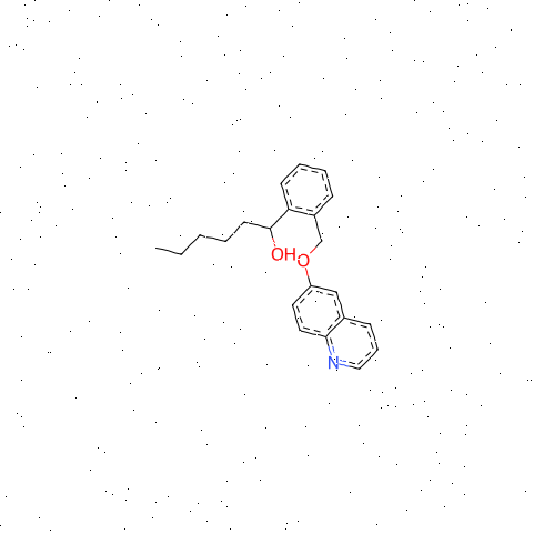 CCCCCC(O)c1ccccc1COc1ccc2ncccc2c1